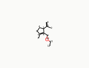 C=C(C)C1CCC(C)=C1COCC